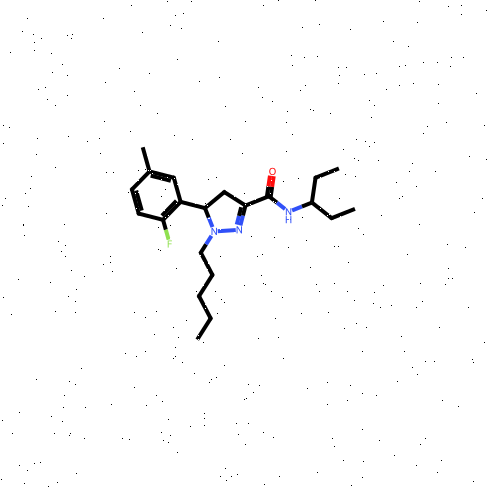 CCCCCN1N=C(C(=O)NC(CC)CC)CC1c1cc(C)ccc1F